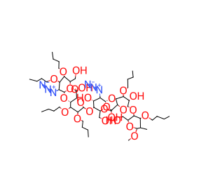 CCCCOC1[C@H](O[C@H]2OC(CO)[C@@H](OCCCC)[C@H](OCCCC)[C@@H]2N=[N+]=[N-])C(C(=O)O)O[C@@H](O[C@@H]2C(CO)O[C@@H](O[C@H]3C(C(=O)O)OC(O[C@@H]4C(CO)O[C@H](OC)C(C)[C@H]4OCCCC)[C@@H](O)[C@@H]3OCCCC)C(N=[N+]=[N-])[C@H]2O)[C@H]1OCCCC